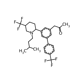 CC(=O)Cc1cc(-c2ccc(C(F)(F)F)cc2)cc(C2CCC(C(F)(F)F)CN2CCC(C)C)c1